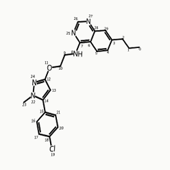 CCCc1ccc2c(NCCOc3cc(-c4ccc(Cl)cc4)n(C)n3)ncnc2c1